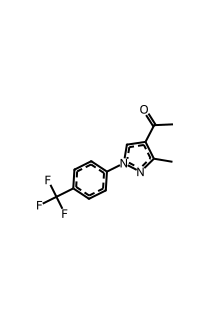 CC(=O)c1cn(-c2ccc(C(F)(F)F)cc2)nc1C